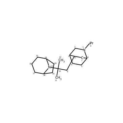 CC(C)N1CC2CCC1CC2CC(C)(C)N1C2CCCC1CC2